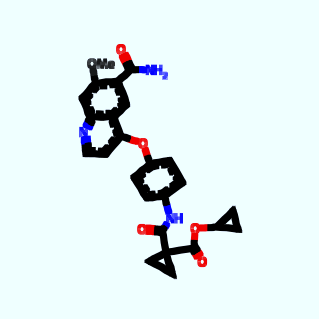 COc1cc2nccc(Oc3ccc(NC(=O)C4(C(=O)OC5CC5)CC4)cc3)c2cc1C(N)=O